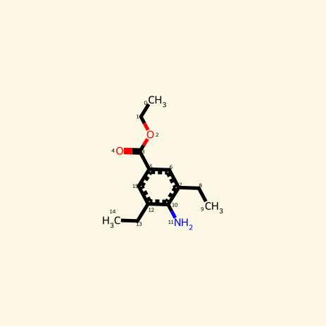 CCOC(=O)c1cc(CC)c(N)c(CC)c1